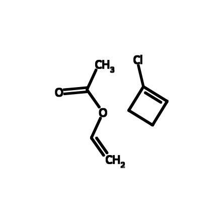 C=COC(C)=O.ClC1=CCC1